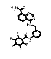 Cc1c(F)c(F)c(C(=O)Nc2cccc(CNc3ncnc4c(C(N)=O)cccc34)c2)c(F)c1F